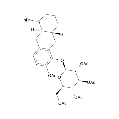 CCCN1CCC[C@@H]2Cc3c(ccc(OC(C)=O)c3O[C@@H]3O[C@H](COC(C)=O)[C@@H](OC(C)=O)[C@H](OC(C)=O)[C@H]3OC(C)=O)C[C@H]21